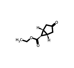 CCOC(=O)[C@H]1[C@@H]2CC(=O)C[C@@H]21